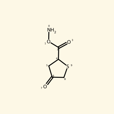 NOC(=O)C1CC(=O)CS1